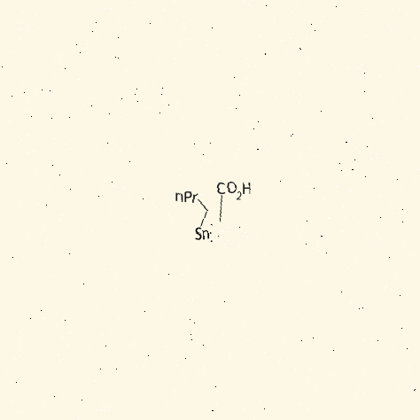 CC(=O)O.CCC[CH2][Sn]